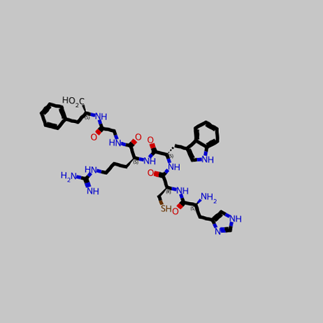 N=C(N)NCCC[C@H](NC(=O)[C@H](Cc1c[nH]c2ccccc12)NC(=O)[C@H](CS)NC(=O)[C@@H](N)Cc1c[nH]cn1)C(=O)NCC(=O)N[C@@H](Cc1ccccc1)C(=O)O